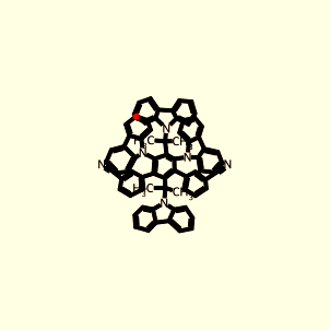 CC(C)(c1c(-c2cccc(C#N)c2)c(-n2c3ccccc3c3ccccc32)c(C(C)(C)n2c3ccccc3c3ccccc32)c(-n2c3ccccc3c3ccccc32)c1-c1cccc(C#N)c1)n1c2ccccc2c2ccccc21